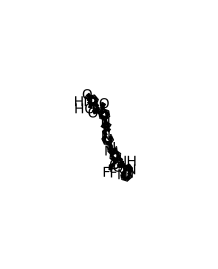 CC1(CN2CCC(n3cc4cc(NC(=O)c5cnn6cccnc56)c(OCC(F)F)cc4n3)CC2)CN(c2ccc3c(c2)C(=O)N(C2CCC(=O)NC2O)C3=O)C1